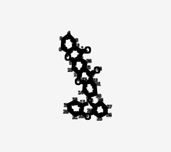 O=c1c2ccccc2oc2cc3oc4cc(N5c6ccccc6Oc6ccccc65)ccc4c(=O)c3cc12